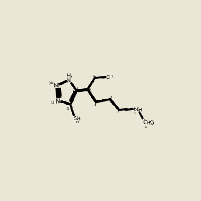 O=CNCCCC(CCl)c1[nH]nnc1S